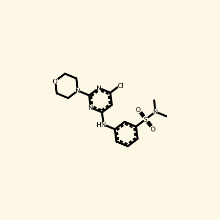 CN(C)S(=O)(=O)c1cccc(Nc2cc(Cl)nc(N3CCOCC3)n2)c1